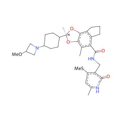 COC1CN(C2CCC([C@]3(C)Oc4c(C)c(C(=O)NCc5c(SC)cc(C)[nH]c5=O)c5c(c4O3)CCC5)CC2)C1